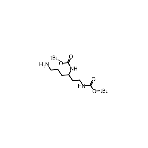 CC(C)(C)OC(=O)NCCC(CCCN)NC(=O)OC(C)(C)C